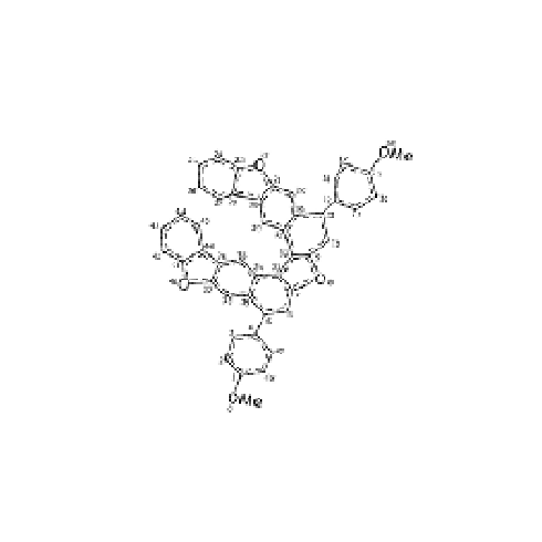 COc1ccc(-c2cc3oc4cc(-c5ccc(OC)cc5)c5cc6oc7ccccc7c6cc5c4c3c3cc4c(cc23)oc2ccccc24)cc1